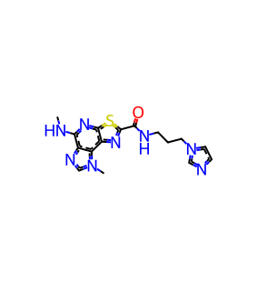 CNc1nc2sc(C(=O)NCCCn3ccnc3)nc2c2c1ncn2C